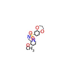 COc1cccnc1/C=N\S(=O)(=O)c1ccc2c(c1)OCCCO2